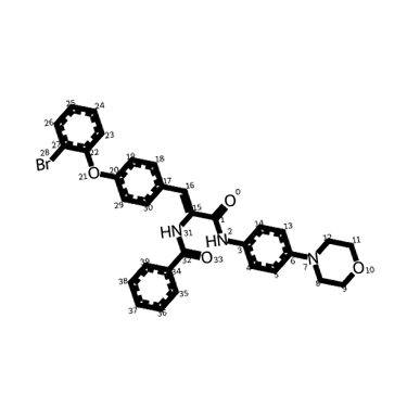 O=C(Nc1ccc(N2CCOCC2)cc1)/C(=C/c1ccc(Oc2ccccc2Br)cc1)NC(=O)c1ccccc1